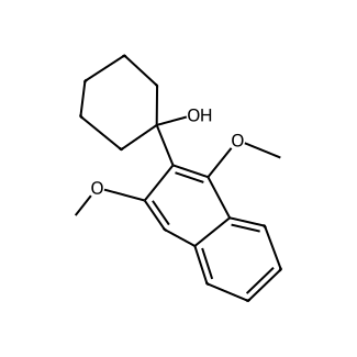 COc1cc2ccccc2c(OC)c1C1(O)CCCCC1